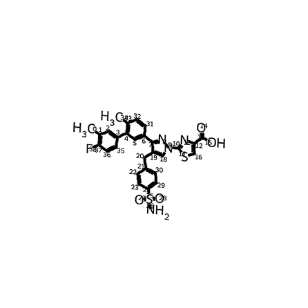 Cc1cc(-c2cc(-c3nn(-c4nc(C(=O)O)cs4)cc3Cc3ccc(S(N)(=O)=O)cc3)ccc2C)ccc1F